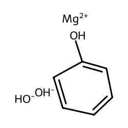 Oc1ccccc1.[Mg+2].[OH-].[OH-]